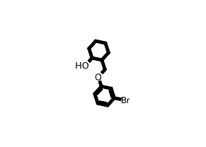 OC1CCCCC1COc1cccc(Br)c1